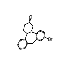 O=C1CCC2c3ccccc3Cc3cc(Br)ccc3N2C1